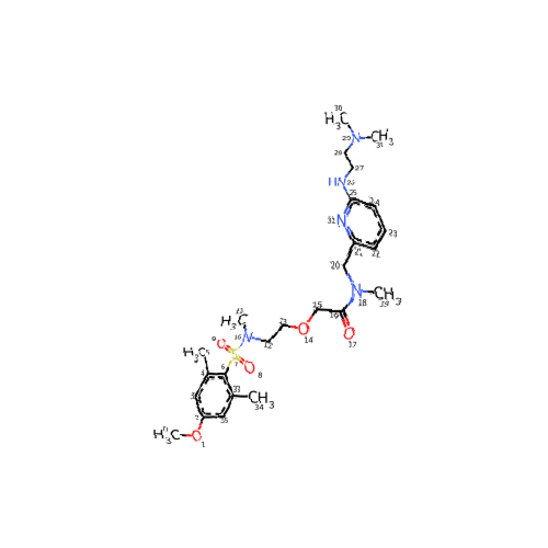 COc1cc(C)c(S(=O)(=O)N(C)CCOCC(=O)N(C)Cc2cccc(NCCN(C)C)n2)c(C)c1